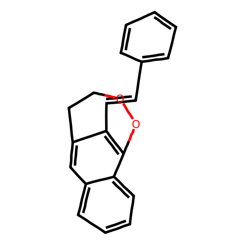 C(=Cc1c2cc3ccccc3c1OOCC2)c1ccccc1